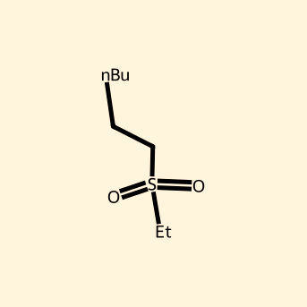 [CH2]CS(=O)(=O)CCCCCC